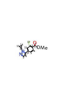 COC(=O)c1ccc(-c2ccnn2C2CC2)cc1F